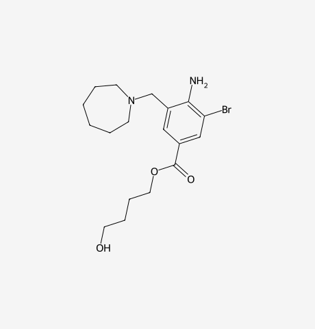 Nc1c(Br)cc(C(=O)OCCCCO)cc1CN1CCCCCC1